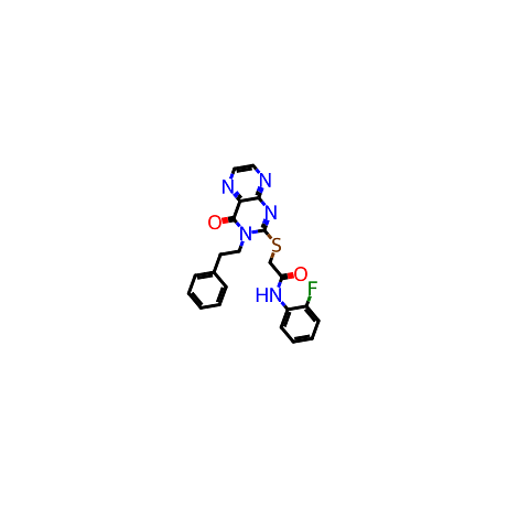 O=C(CSc1nc2nccnc2c(=O)n1CCc1ccccc1)Nc1ccccc1F